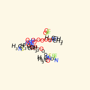 Cc1ncsc1-c1ccc(CNC(=O)[C@@H]2C[C@@H](OC(=O)CCOCCOCCOCCOCC[N+](C)(C)C)CN2C(=O)[C@@H](NC(=O)COCCCCOc2ccc(-c3ccc(N4C(=S)N(c5ccc(C#N)c(C(F)(F)F)c5)C(=O)C4(C)C)cc3)cc2)C(C)(C)C)cc1.O=C([O-])C(F)(F)F